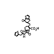 O=C(Cc1cccs1)NC1C(=O)N2C(C(=O)O)=C(Sc3cc(=O)c4sccc4s3)CS[C@H]12